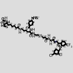 [N-]=[N+]=Nc1ccc(C(=O)NC(CCCCNC(=O)CCCCC2SC[C@@H]3NC(=O)N[C@H]23)C(=O)NCCSSCCC(=O)NNC(=O)/C=C/c2nn(Cc3ccc(Cl)cc3Cl)c3cc(C(F)(F)F)ccc23)cc1